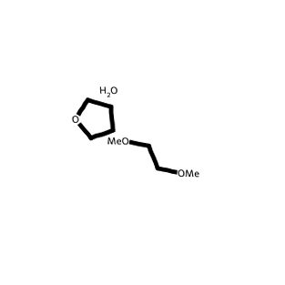 C1CCOC1.COCCOC.O